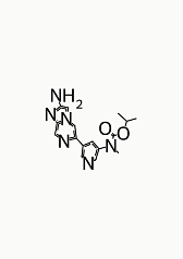 CC(C)OC(=O)N(C)c1cncc(-c2cn3cc(N)nc3cn2)c1